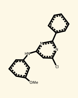 COc1cccc(Nc2cc(Cl)nc(-c3ccccc3)n2)c1